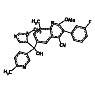 COc1nc2c(C)cc(C(O)(c3ccc(C)nc3)c3cncn3C)cc2c(C#N)c1-c1cccc(F)c1